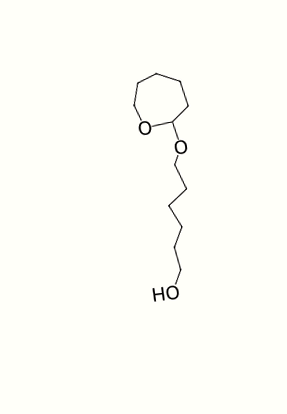 OCCCCCCOC1CCCCCO1